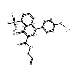 C=CCOC(=O)c1nn(-c2ccc(OC(F)(F)F)cc2)c2cccc(S(C)(=O)=O)c2c1=O